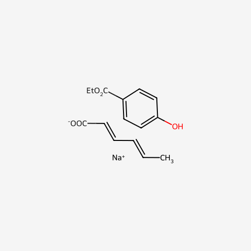 C/C=C/C=C/C(=O)[O-].CCOC(=O)c1ccc(O)cc1.[Na+]